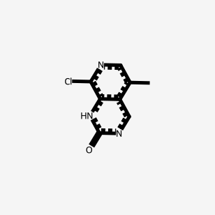 Cc1cnc(Cl)c2[nH]c(=O)ncc12